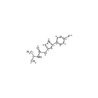 CC(C)NC(=O)Oc1cc(-c2ccc(F)cc2)ns1